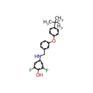 CC(C)(C)c1ccc(Oc2cccc(CNc3cc(F)c(O)c(F)c3)c2)cc1